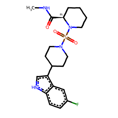 CNC(=O)[C@H]1CCCCN1S(=O)(=O)N1CCC(c2c[nH]c3ccc(F)cc23)CC1